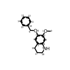 COc1cc2c(cc1OCc1ccccc1)CCCN2